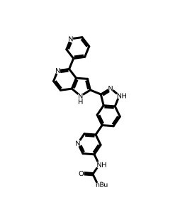 CCCCC(=O)Nc1cncc(-c2ccc3[nH]nc(-c4cc5c(-c6cccnc6)nccc5[nH]4)c3c2)c1